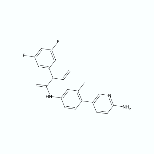 C=CC(C(=C)Nc1ccc(-c2ccc(N)nc2)c(C)c1)c1cc(F)cc(F)c1